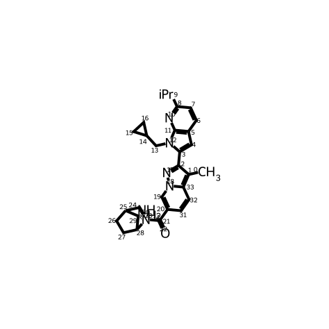 Cc1c(-c2cc3ccc(C(C)C)nc3n2CC2CC2)nn2cc(C(=O)N3CC4CCC3[C@@H]4N)ccc12